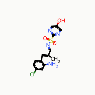 CC(C=NS(=O)(=O)c1ncc(O)cn1)=Cc1ccc(Cl)cc1N